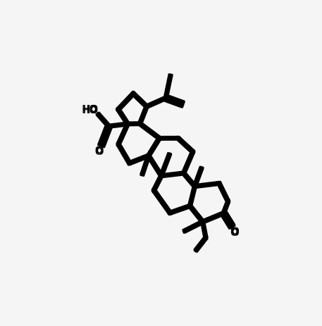 C=C(C)C1CCC2(C(=O)O)CCC3(C)C(CCC4C5(C)CCC(=O)C(C)(CC)C5CCC43C)C12